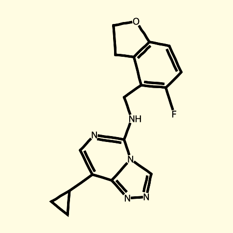 Fc1ccc2c(c1CNc1ncc(C3CC3)c3nncn13)CCO2